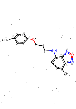 Cc1ccc(NCCCOc2ccc(C=O)cc2)c2nonc12